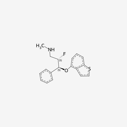 CNC[C@H](F)[C@@H](Oc1cccc2sccc12)c1ccccc1